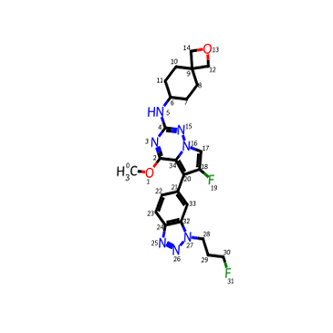 COc1nc(NC2CCC3(CC2)COC3)nn2cc(F)c(-c3ccc4nnn(CCCF)c4c3)c12